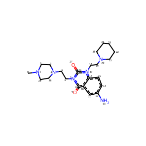 CN1CCN(CCn2c(=O)c3cc(N)ccc3n(CCN3CCCCC3)c2=O)CC1